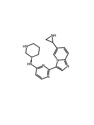 c1cc(N[C@@H]2CCCNC2)nc(-c2cnc3ccc(C4CN4)cn23)n1